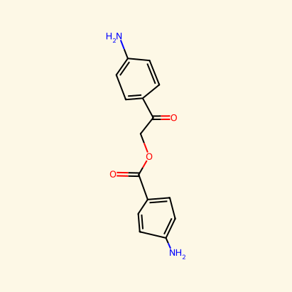 Nc1ccc(C(=O)COC(=O)c2ccc(N)cc2)cc1